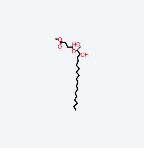 CCCCCCCCCCCCCCCCC(O)[C@H](CO)OCCCC(=O)OC